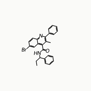 CCC(NC(=O)c1c(C)c(-c2ccccc2)nc2ccc(Br)cc12)c1ccccc1